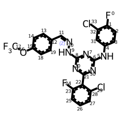 Fc1ccc(Nc2nc(N/N=C\c3ccc(OC(F)(F)F)cc3)nc(-c3c(F)cccc3Cl)n2)cc1Cl